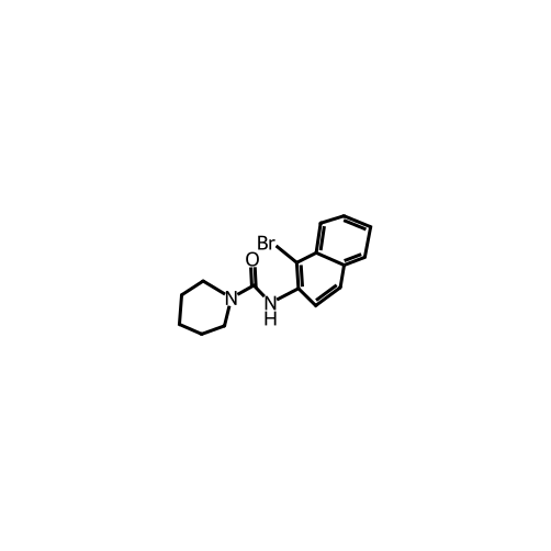 O=C(Nc1ccc2ccccc2c1Br)N1CCCCC1